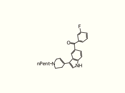 CCCCCN1CC=C(c2c[nH]c3ccc(C(=O)c4cccc(F)c4)cc23)CC1